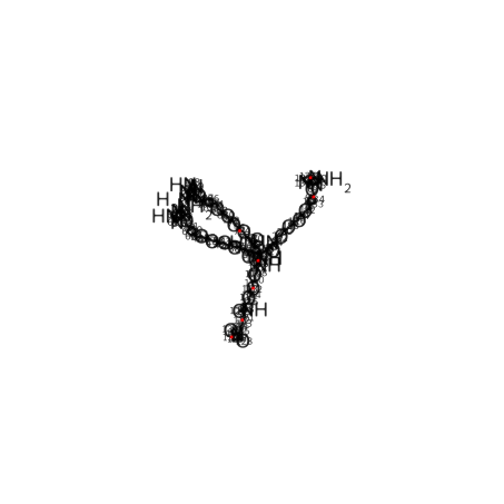 Nc1nc2c(c(OCc3ccc(COCCOCCOCCOCCNC(=O)CCC(CCC(=O)CCCOCCOCCOCCOCc4ccc(COc5nc(N)nc6[nH]cnc56)cc4)(CCC(=O)NCCOCCOCCOCCOCc4ccc(COc5nc(N)nc6[nH]cnc56)cc4)NC(=O)NCCOCCOCCOCCNC(=O)CCCCCN4C(=O)C=CC4=O)cc3)n1)N=CC2